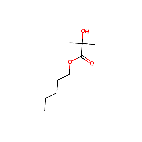 CCCCCOC(=O)C(C)(C)O